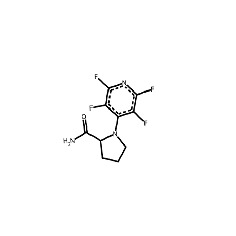 NC(=O)C1CCCN1c1c(F)c(F)nc(F)c1F